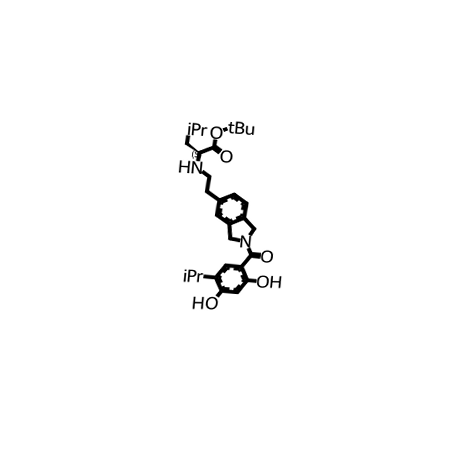 CC(C)C[C@H](NCCc1ccc2c(c1)CN(C(=O)c1cc(C(C)C)c(O)cc1O)C2)C(=O)OC(C)(C)C